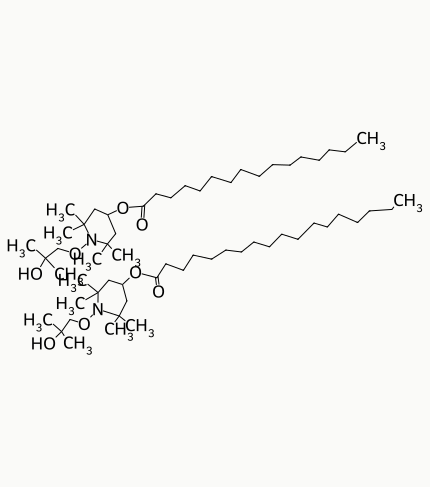 CCCCCCCCCCCCCCCC(=O)OC1CC(C)(C)N(OCC(C)(C)O)C(C)(C)C1.CCCCCCCCCCCCCCCCCC(=O)OC1CC(C)(C)N(OCC(C)(C)O)C(C)(C)C1